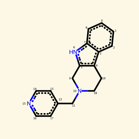 c1ccc2c3c([nH]c2c1)CN(Cc1ccncc1)CC3